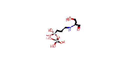 O=CC(CO)NCCC[Si](O)(O)O[Si](O)(O)O